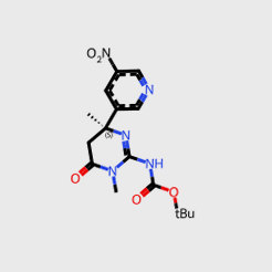 CN1C(=O)C[C@@](C)(c2cncc([N+](=O)[O-])c2)N=C1NC(=O)OC(C)(C)C